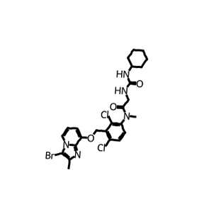 Cc1nc2c(OCc3c(Cl)ccc(N(C)C(=O)CNC(=O)NC4CCCCC4)c3Cl)cccn2c1Br